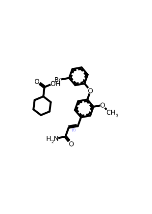 COc1cc(/C=C/C(N)=O)ccc1Oc1cccc(Br)c1.O=C(O)C1CCCCC1